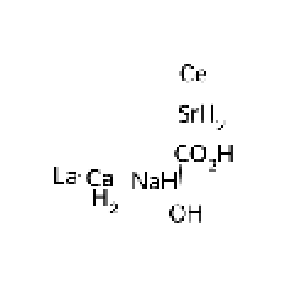 O=C(O)O.[CaH2].[Ce].[La].[NaH].[SrH2]